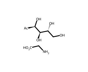 CC(=O)[C@@H](O)[C@H](O)[C@H](O)CO.NCC(=O)O